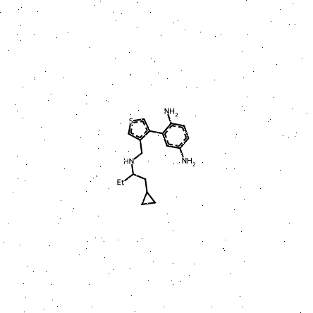 CCC(CC1CC1)NCc1cscc1-c1cc(N)ccc1N